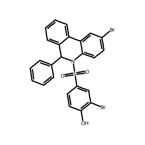 O=S(=O)(c1ccc(O)c(Br)c1)N1c2ccc(Br)cc2-c2ccccc2C1c1ccccc1